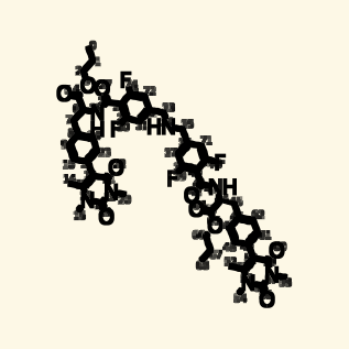 CCCOC(=O)C(Cc1ccc(-c2c(C)n(C)c(=O)n(C)c2=O)cc1)NC(=O)c1c(F)cc(CNCc2cc(F)c(C(=O)N[C@@H](Cc3ccc(-c4c(C)n(C)c(=O)n(C)c4=O)cc3)C(=O)OCCC)c(F)c2)cc1F